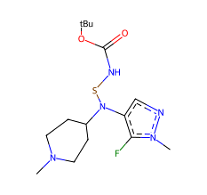 CN1CCC(N(SNC(=O)OC(C)(C)C)c2cnn(C)c2F)CC1